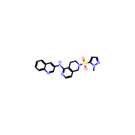 Cn1nccc1S(=O)(=O)N1CCc2c(ccnc2Nc2cnc3ccccc3c2)C1